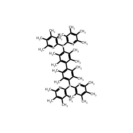 Cc1nc(P(c2nc(C)c(C)c(C)c2C)c2c(C)c(C)c(-c3c(C)c(C)c(P(c4nc(C)c(C)c(C)c4C)c4nc(C)c(C)c(C)c4C)c(C)c3C)c(C)c2C)c(C)c(C)c1C